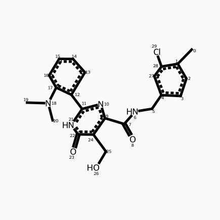 Cc1ccc(CNC(=O)c2nc(-c3ccccc3N(C)C)[nH]c(=O)c2CO)cc1Cl